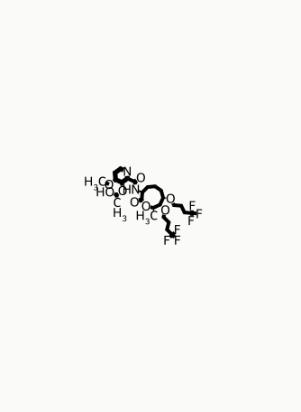 COc1ccnc(C(=O)N[C@H]2CCC[C@H](OCCCC(F)(F)F)[C@@H](OCCCC(F)(F)F)[C@H](C)OC2=O)c1OC(C)O